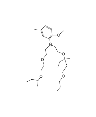 CCCOCCC(C)(CC)OCCN(CCOCCOC(C)CC)c1cc(C)ccc1OC